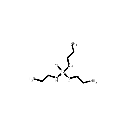 NCC[NH][Co]([Cl])([NH]CCN)[NH]CCN